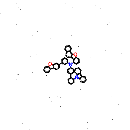 c1c(-c2ccccc2-n2c3c(c4ccccc42)C=CCC3)ccc(N(c2cccc(-c3ccc4c(c3)oc3ccccc34)c2)c2cccc3oc4c5ccccc5ccc4c23)c#1